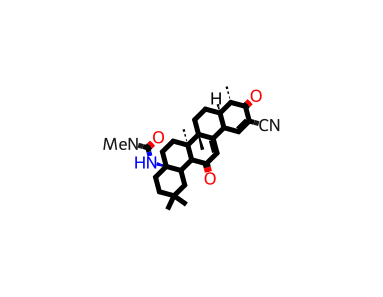 CNC(=O)N[C@]12CCC(C)(C)CC1C1C(=O)C=C3C4C=C(C#N)C(=O)[C@@H](C)[C@@H]4CC[C@@]3(C)[C@]1(C)CC2